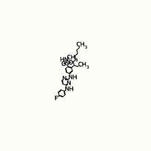 CCCCCCCC(CC)c1cc(Nc2nccc(Nc3ccc(F)cc3)n2)ccc1S(=O)(=O)NC